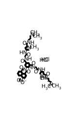 CN(C)CCCNC(=O)c1cc(NC(=O)CNC(=O)c2cc(C(=O)NCC(=O)Nc3cc(C(=O)NCCCN(C)C)n(C)c3)cc(N3C(=O)c4cccc5c([N+](=O)[O-])ccc(c45)C3=O)c2)cn1C.Cl.Cl